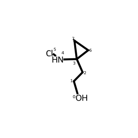 OCCC1(NCl)CC1